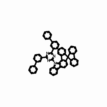 c1ccc(-c2cccc(-c3nc(-c4cccc(-c5ccccc5)c4)nc(-n4c5ccccc5c5ccc6c(c54)-c4ccccc4C64c5ccccc5-c5ccccc54)n3)c2)cc1